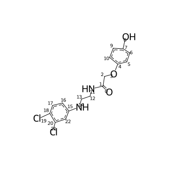 O=C(COc1ccc(O)cc1)NCCNc1ccc(Cl)c(Cl)c1